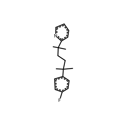 CC(C)(CCC(C)(C)c1ccccn1)c1ccc(F)cc1